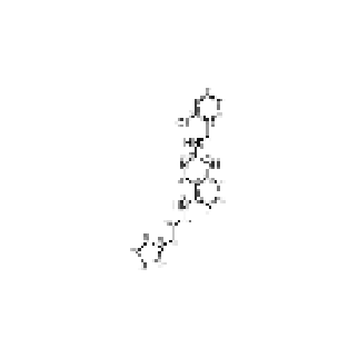 Clc1ccccc1CNC1N=Cc2c(ccnc2NCCCN2CCCC2)N1